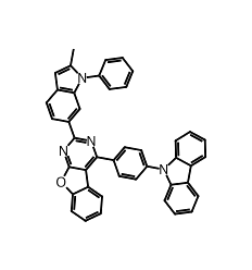 Cc1cc2ccc(-c3nc(-c4ccc(-n5c6ccccc6c6ccccc65)cc4)c4c(n3)oc3ccccc34)cc2n1-c1ccccc1